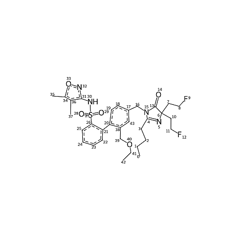 CCCCC1=NC(CCF)(CCF)C(=O)N1Cc1ccc(-c2ccccc2S(=O)(=O)Nc2noc(C)c2C)c(COCC)c1